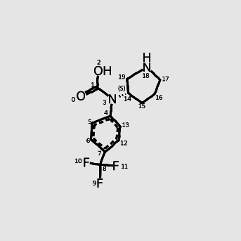 O=C(O)N(c1ccc(C(F)(F)F)cc1)[C@H]1CCCNC1